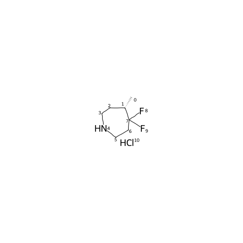 C[C@H]1CCNCCC1(F)F.Cl